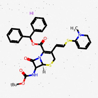 CN1CC=CC=C1SC=CC1=C(C(=O)OC(c2ccccc2)c2ccccc2)N2C(=O)C(NC(=O)OC(C)(C)C)[C@@H]2SC1.I